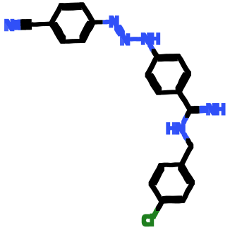 N#Cc1ccc(/N=N/Nc2ccc(C(=N)NCc3ccc(Cl)cc3)cc2)cc1